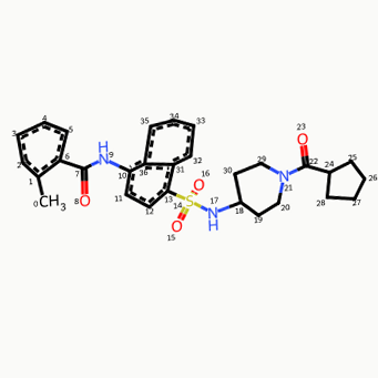 Cc1ccccc1C(=O)Nc1ccc(S(=O)(=O)NC2CCN(C(=O)C3CCCC3)CC2)c2ccccc12